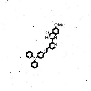 COc1ccc2nc(-c3cc(/C=C/c4ccc(N(c5ccccc5)c5ccccc5)cc4)ccn3)[nH]c(=O)c2c1